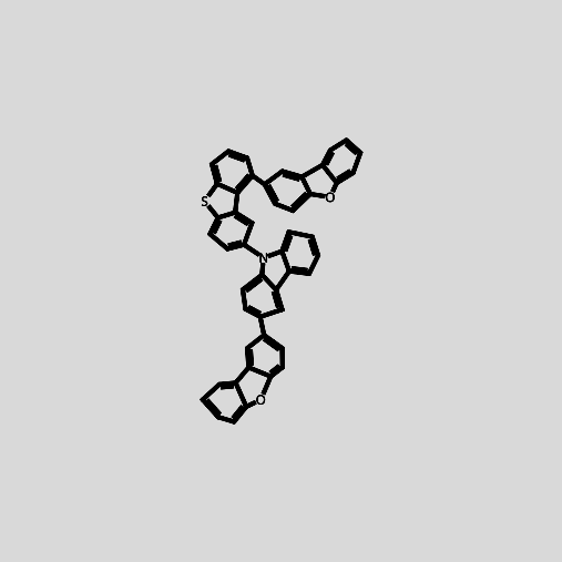 c1ccc2c(c1)oc1ccc(-c3ccc4c(c3)c3ccccc3n4-c3ccc4sc5cccc(-c6ccc7oc8ccccc8c7c6)c5c4c3)cc12